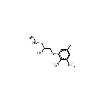 CCCNCC(O)COc1cc(C)cc([N+](=O)[O-])c1N